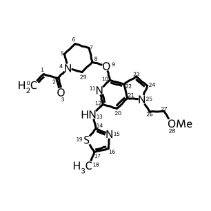 C=CC(=O)N1CCCC(Oc2nc(Nc3ncc(C)s3)cc3c2ccn3CCOC)C1